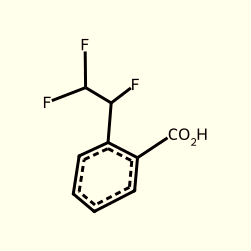 O=C(O)c1ccccc1C(F)C(F)F